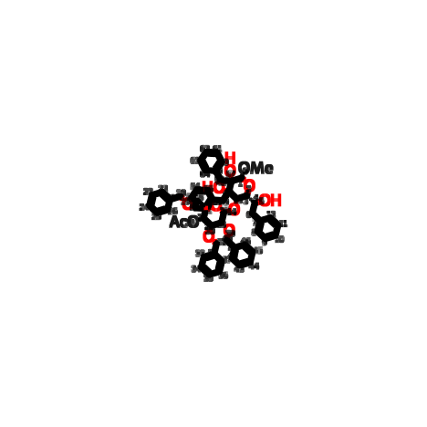 CO[C@H]1O[C@H](C(O)Cc2ccccc2)[C@@H](O[C@@H]2O[C@H](COCc3ccccc3)[C@H](OC(C)=O)[C@H](OCc3ccccc3)[C@H]2OCc2ccccc2)[C@@](O)(Cc2ccccc2)[C@]1(O)Cc1ccccc1